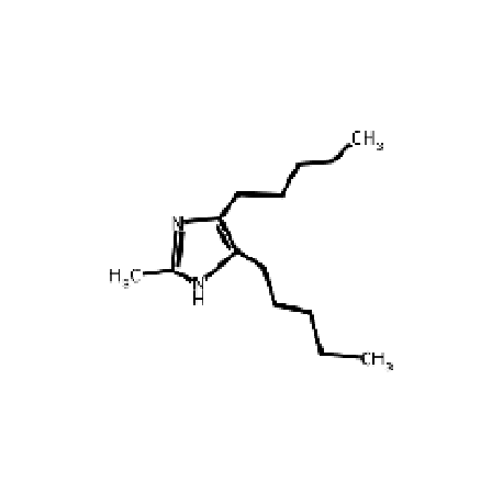 CCCCCc1nc(C)[nH]c1CCCCC